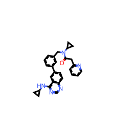 O=C(Cc1ccccn1)N(Cc1cccc(-c2ccc3ncnc(NC4CC4)c3c2)c1)C1CC1